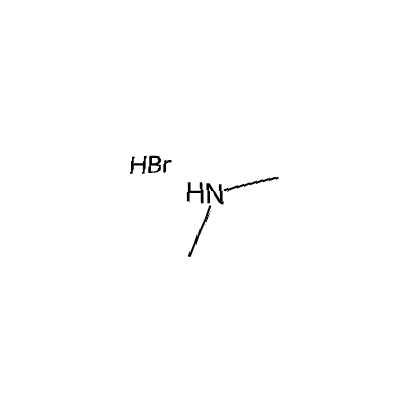 Br.CNC